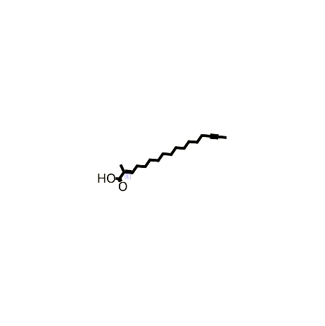 CC#CCCCCCCCCCCC/C=C(\C)C(=O)O